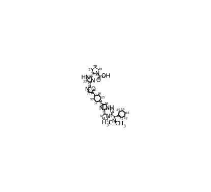 CN(C)[C@@H](C(=O)N1CCC[C@H]1c1nc(-c2ccc(-c3cnc(-c4c[nH]c([C@@H]5CCCN5C(=O)O)n4)o3)cc2)c[nH]1)c1ccccc1